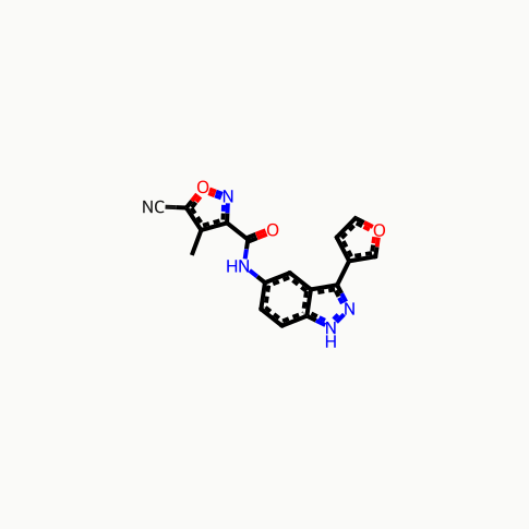 Cc1c(C(=O)Nc2ccc3[nH]nc(-c4ccoc4)c3c2)noc1C#N